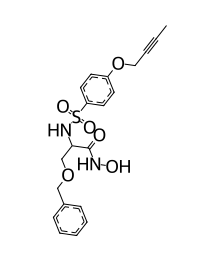 CC#CCOc1ccc(S(=O)(=O)NC(COCc2ccccc2)C(=O)NO)cc1